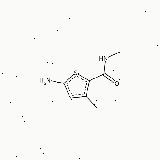 CNC(=O)c1sc(N)nc1C